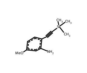 COc1ccc(C#C[Si](C)(C)C)c(N)c1